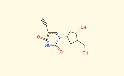 C#Cc1cn(C2CC(O)C(CO)C2)c(=O)[nH]c1=O